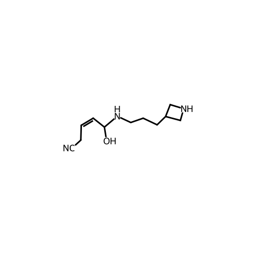 N#CC/C=C\C(O)NCCCC1CNC1